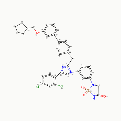 O=C1CN(c2cccc(-n3cc(-c4ccc(Cl)cc4Cl)nc3Cc3ccc(-c4cccc(OCC5CCCC5)c4)cc3)c2)S(=O)(=O)N1